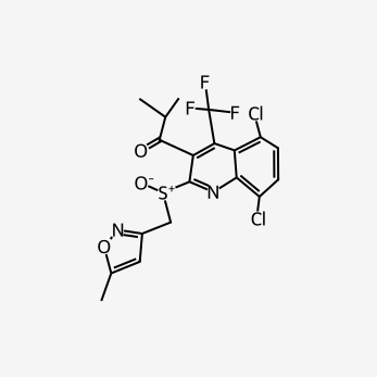 Cc1cc(C[S+]([O-])c2nc3c(Cl)ccc(Cl)c3c(C(F)(F)F)c2C(=O)C(C)C)no1